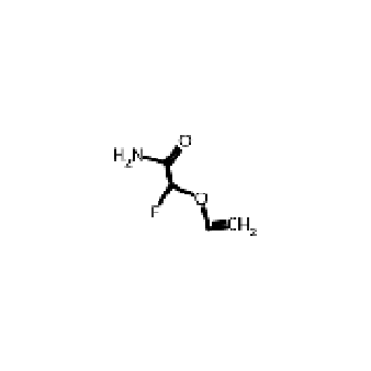 C=COC(F)C(N)=O